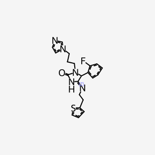 O=C1N/C(=N\CCc2cccs2)C(c2ccccc2F)N1CCCn1ccnc1